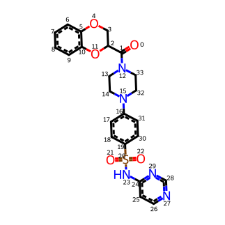 O=C(C1COc2ccccc2O1)N1CCN(c2ccc(S(=O)(=O)Nc3ccncn3)cc2)CC1